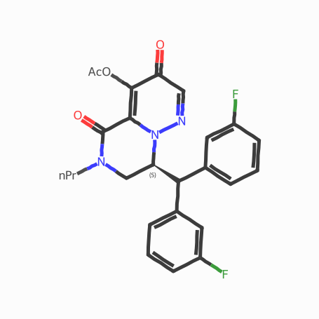 CCCN1C[C@H](C(c2cccc(F)c2)c2cccc(F)c2)n2ncc(=O)c(OC(C)=O)c2C1=O